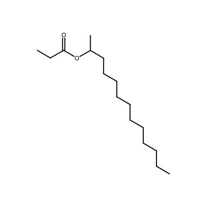 CCCCCCCCCCCC(C)OC(=O)CC